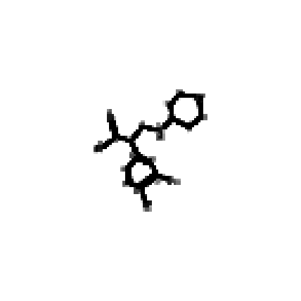 CC(C)C(=O)C(CNC1CCOCC1)c1ccc(Br)c(F)c1